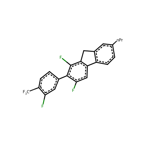 CCCc1ccc2c(c1)Cc1c-2cc(F)c(-c2ccc(C(F)(F)F)c(F)c2)c1F